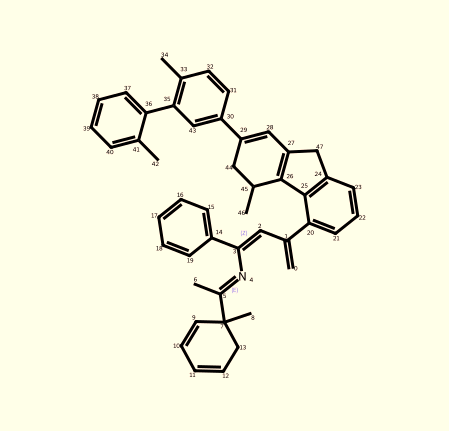 C=C(/C=C(\N=C(/C)C1(C)C=CC=CC1)c1ccccc1)c1cccc2c1C1=C(C=C(c3ccc(C)c(-c4ccccc4C)c3)CC1C)C2